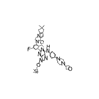 CCc1c(-c2nc(Nc3ccc(N4CCN(C5COC5)CC4)cc3)c3ncn(COCC[Si](C)(C)C)c3n2)cc(F)cc1N1CCn2c(cc3c2CC(C)(C)C3)C1=O